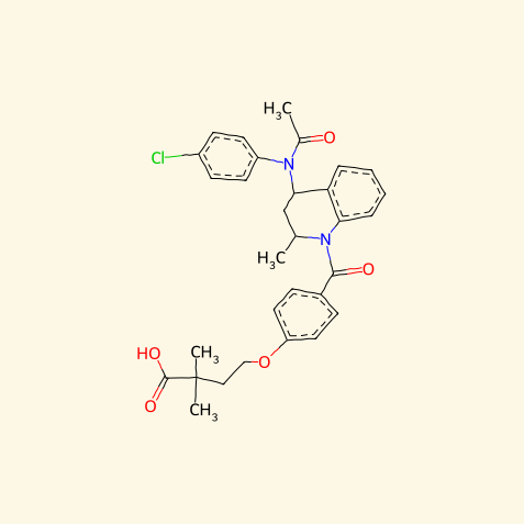 CC(=O)N(c1ccc(Cl)cc1)C1CC(C)N(C(=O)c2ccc(OCCC(C)(C)C(=O)O)cc2)c2ccccc21